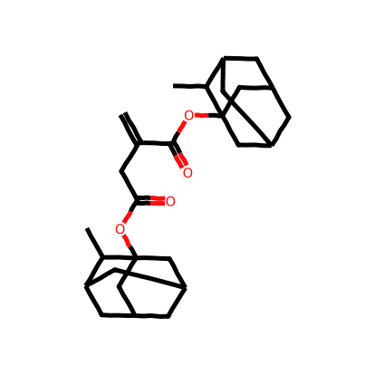 C=C(CC(=O)OC12CC3CC(CC(C3)C1C)C2)C(=O)OC12CC3CC(CC(C3)C1C)C2